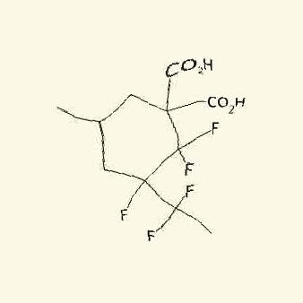 CC1CC(C(=O)O)(C(=O)O)C(F)(F)C(F)(C(C)(F)F)C1